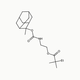 CCC(C)(C)C(=O)OCCNC(=O)OC1(C)C2CC3CC(C2)CC1C3